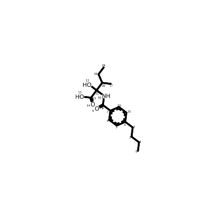 CCCCc1ccc(C(=O)NC(O)(C(=O)O)C(C)CC)cc1